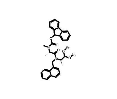 CCOC(OCC)[C@H](C)N(Cc1cccc2ccccc12)C(=O)[C@H](C)N(C)C(=O)OC1c2ccccc2-c2ccccc21